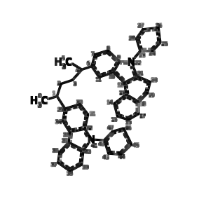 CC(CCC(C)c1ccc2c(c1)c1c3ccccc3ccc1n2-c1ccccc1)c1ccc2c(c1)c1ccccc1n2-c1ccccc1